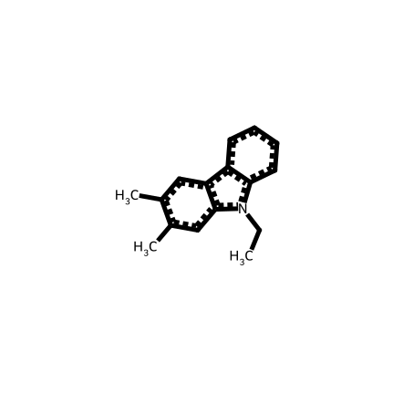 CCn1c2ccccc2c2cc(C)c(C)cc21